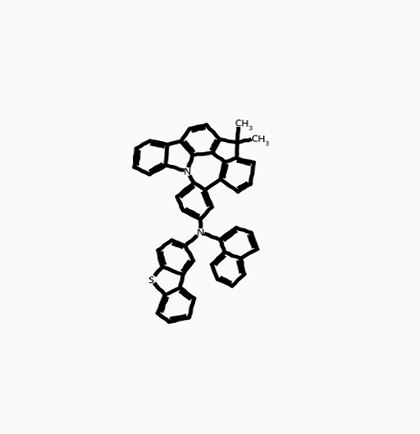 CC1(C)c2cccc3c2-c2c1ccc1c4ccccc4n(c21)-c1ccc(N(c2ccc4sc5ccccc5c4c2)c2cccc4ccccc24)cc1-3